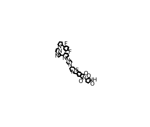 O=C1CCC(N2C(=O)c3cc(F)c(CN4CCC(N5CCN(c6cccc(-c7cnn8ccc(N9CCCC9c9ccc(F)cc9F)nc78)n6)CC5)CC4)cc3C2=O)C(=O)N1